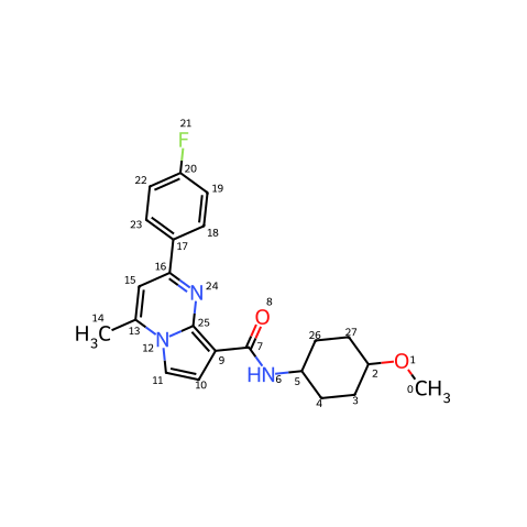 COC1CCC(NC(=O)c2ccn3c(C)cc(-c4ccc(F)cc4)nc23)CC1